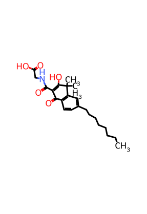 CCCCCCCCc1ccc2c(c1)C(C)(C)C(O)=C(C(=O)NCC(=O)O)C2=O